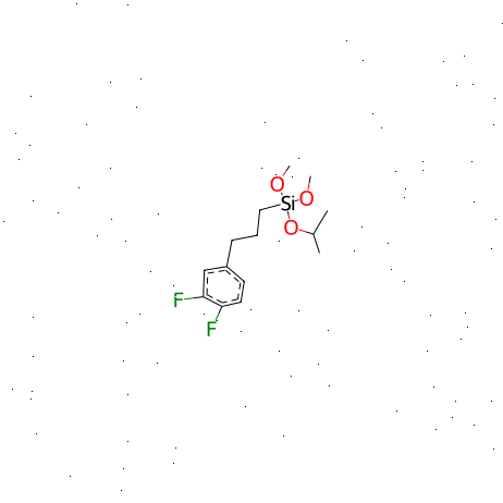 CO[Si](CCCc1ccc(F)c(F)c1)(OC)OC(C)C